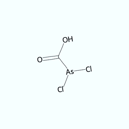 O=C(O)[As](Cl)Cl